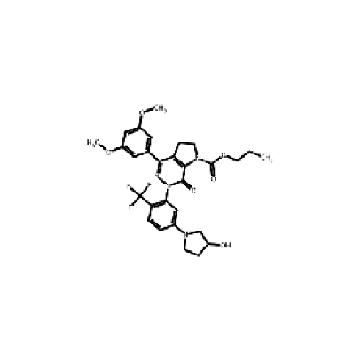 CCCOC(=O)N1CCc2c(-c3cc(OC)cc(OC)c3)nn(-c3cc(N4CCC(O)C4)ccc3C(F)(F)F)c(=O)c21